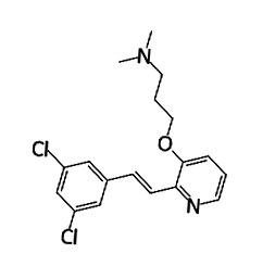 CN(C)CCCOc1cccnc1C=Cc1cc(Cl)cc(Cl)c1